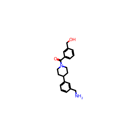 NCc1cccc(C2CCN(C(=O)c3cccc(CO)c3)CC2)c1